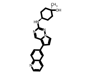 C[C@]1(O)CC[C@@H](Nc2ncc3c(-c4ccc5ncccc5c4)ccn3n2)CC1